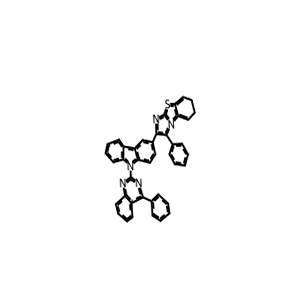 C1=c2sc3nc(-c4ccc5c(c4)c4ccccc4n5-c4nc(-c5ccccc5)c5ccccc5n4)c(-c4ccccc4)n3c2=CCC1